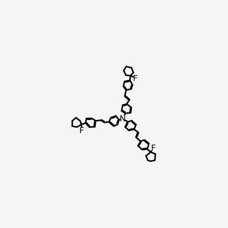 FC1(c2ccc(/C=C/c3ccc(N(c4ccc(/C=C/c5ccc(C6(F)CCCCC6)cc5)cc4)c4ccc(/C=C/c5ccc(C6(F)CCCCC6)cc5)cc4)cc3)cc2)CCCCC1